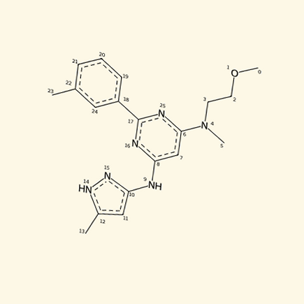 COCCN(C)c1cc(Nc2cc(C)[nH]n2)nc(-c2cccc(C)c2)n1